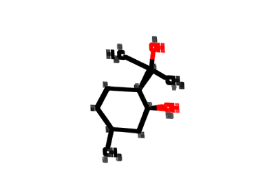 CC1CC[C@@H](C(C)(C)O)[C@@H](O)C1